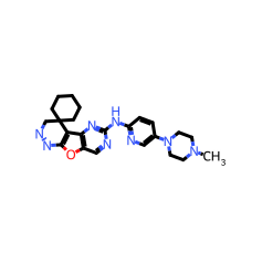 CN1CCN(c2ccc(Nc3ncc4oc5c(c4n3)C3(CCCCC3)CN=N5)nc2)CC1